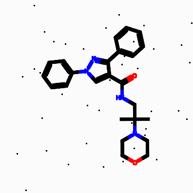 CC(C)(CNC(=O)c1cn(-c2ccccc2)nc1-c1ccccc1)N1CCOCC1